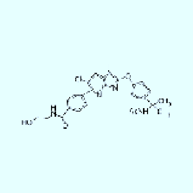 CC(=O)NC(C)(C)c1ccc(Oc2nc3nc(-c4ccc(C(=O)NCCO)cc4)c(Cl)cc3[nH]2)cc1